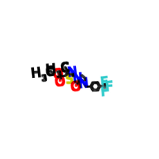 CCOC(=O)c1sc(N2CCN(Cc3ccc(C(F)(F)F)cc3)C2=O)nc1C